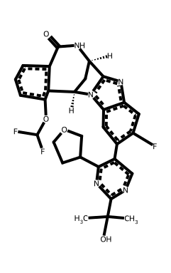 CC(C)(O)c1ncc(-c2cc3c(cc2F)nc2n3[C@@H]3C[C@H]2NC(=O)c2cccc(OC(F)F)c23)c(C2CCOC2)n1